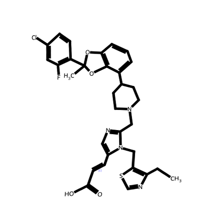 CCc1ncsc1Cn1c(/C=C/C(=O)O)cnc1CN1CCC(c2cccc3c2OC(C)(c2ccc(Cl)cc2F)O3)CC1